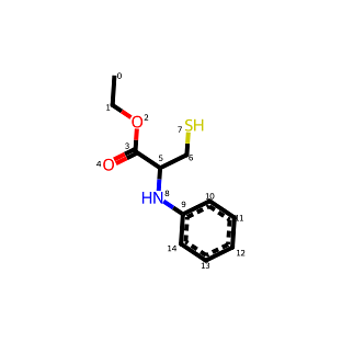 CCOC(=O)C(CS)Nc1ccccc1